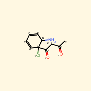 CC(=O)CC(=O)C1(Cl)C=CC=CC1N